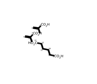 C=C(C)C(=O)O.C=C(C)C(=O)O.O=C(O)CCCCC(=O)O